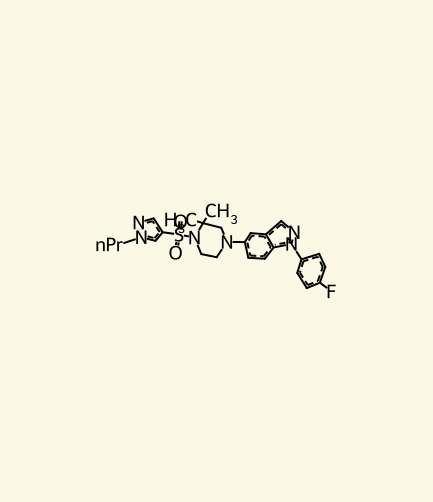 CCCn1cc(S(=O)(=O)N2CCN(c3ccc4c(cnn4-c4ccc(F)cc4)c3)CC2(C)C)cn1